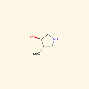 CO[C@H]1CNC[C@@H]1O